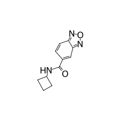 O=C(NC1CCC1)c1ccc2nonc2c1